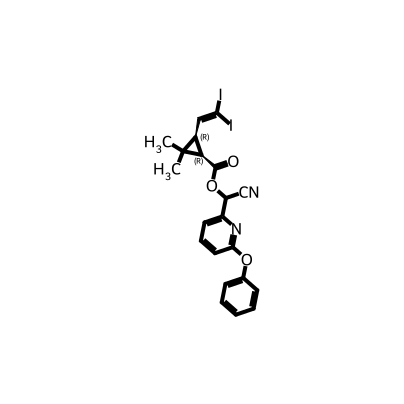 CC1(C)[C@H](C(=O)OC(C#N)c2cccc(Oc3ccccc3)n2)[C@@H]1C=C(I)I